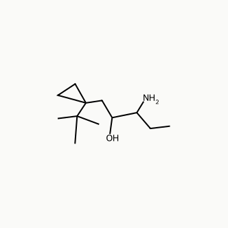 CCC(N)C(O)CC1(C(C)(C)C)CC1